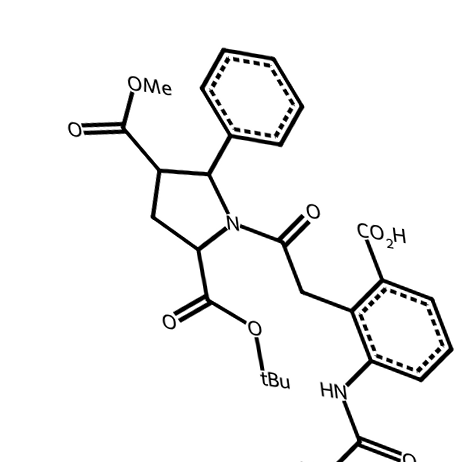 COC(=O)C1CC(C(=O)OC(C)(C)C)N(C(=O)Cc2c(NC(N)=O)cccc2C(=O)O)C1c1ccccc1